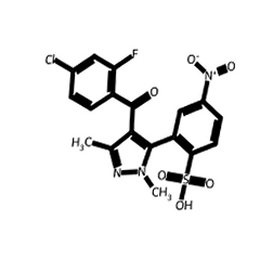 Cc1nn(C)c(-c2cc([N+](=O)[O-])ccc2S(=O)(=O)O)c1C(=O)c1ccc(Cl)cc1F